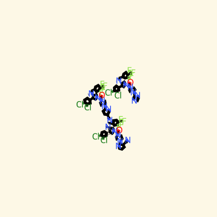 CN(Cc1ccc(C(F)(F)F)c(F)c1)C1CN(C(=O)N2CCN(c3ccc(C#N)cn3)CC2)CC1c1ccc(Cl)c(Cl)c1.CN(Cc1ccc(C(F)(F)F)c(F)c1)C1CN(C(=O)N2CCN(c3cnccn3)CC2)CC1c1ccc(Cl)c(Cl)c1.CN(Cc1ccc(C(F)(F)F)c(F)c1)[C@H]1CN(C(=O)N2CCN(c3ncccc3C#N)CC2)C[C@@H]1c1ccc(Cl)c(Cl)c1